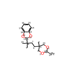 CC(C)B1OCC(C)(CCC(C)(C)B2Oc3ccccc3O2)CO1